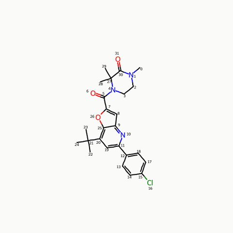 CN1CCN(C(=O)c2cc3nc(-c4ccc(Cl)cc4)cc(C(C)(C)C)c3o2)C(C)(C)C1=O